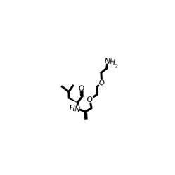 C=C(COCCOCCN)N[C@H](C=O)CC(C)C